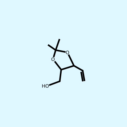 C=CC1OC(C)(C)OC1CO